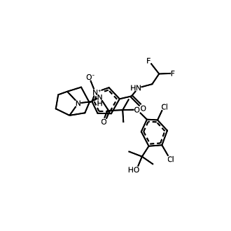 CC(C)(Oc1cc(C(C)(C)O)c(Cl)cc1Cl)C(=O)NC1CC2CCC(C1)N2c1ccc(C(=O)NCC(F)F)c[n+]1[O-]